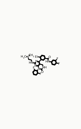 CCc1ccc(C(=O)Nc2ccc(F)c(F)c2)cc1-c1nc(NCCN(C)C)nc2c1CNC(=O)N2c1c(F)cccc1F